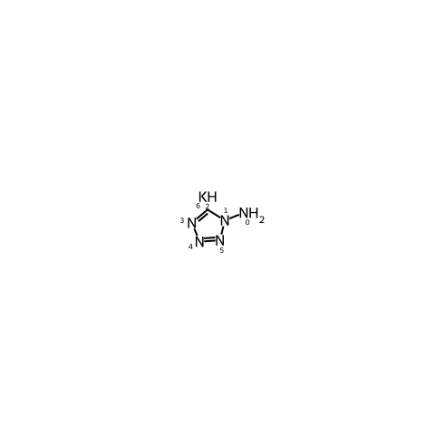 Nn1cnnn1.[KH]